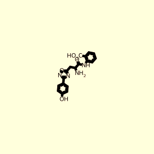 NC(Cc1nc(-c2ccc(O)cc2)no1)C(=O)Nc1ccccc1C(=O)O